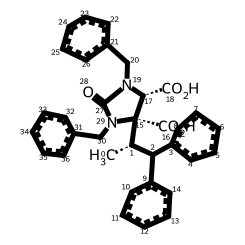 C[C@@H](C(c1ccccc1)c1ccccc1)[C@]1(C(=O)O)[C@@H](C(=O)O)N(Cc2ccccc2)C(=O)N1Cc1ccccc1